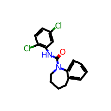 O=C(Nc1cc(Cl)ccc1Cl)N1CCCCc2ccccc21